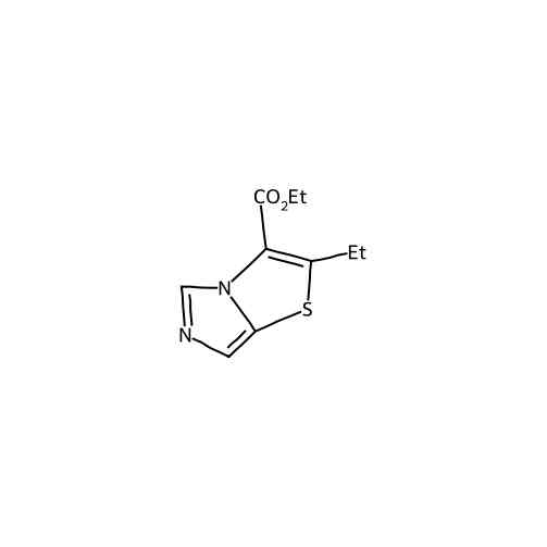 CCOC(=O)c1c(CC)sc2cncn12